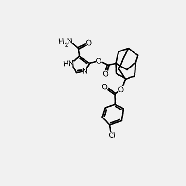 NC(=O)c1[nH]cnc1OC(=O)C12CC3CC(CC(OC(=O)c4ccc(Cl)cc4)(C3)C1)C2